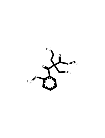 CCCC(CC)(C(=O)OC)C(=O)c1ccccc1OC